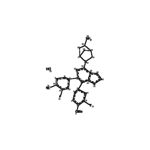 COc1ccc(-c2c(-c3ccc(C#N)c(F)c3)nc(N3CC4CC3CC4N)n3ccnc23)cc1F.Cl